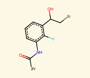 CC(C)C(=O)Nc1cccc(C(O)CBr)c1F